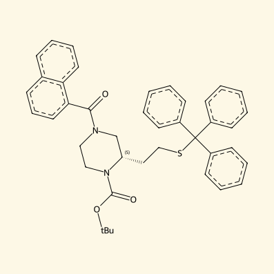 CC(C)(C)OC(=O)N1CCN(C(=O)c2cccc3ccccc23)C[C@@H]1CCSC(c1ccccc1)(c1ccccc1)c1ccccc1